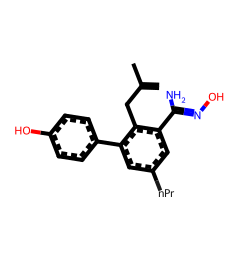 C=C(C)Cc1c(/C(N)=N/O)cc(CCC)cc1-c1ccc(O)cc1